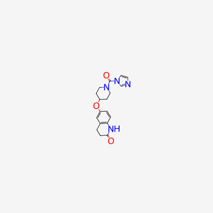 O=C1CCc2cc(OC3CCN(C(=O)n4ccnc4)CC3)ccc2N1